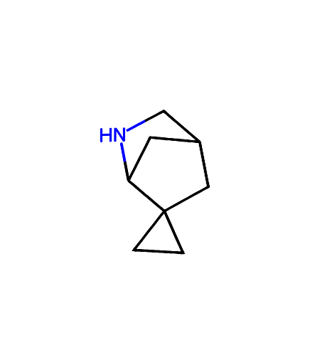 C1NC2CC1CC21CC1